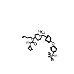 C=CCCN(C(=O)NC1CCC1)C1CCN(Cc2ccc(Oc3ccc(NS(C)(=O)=O)cc3)cc2)CC1.Cl